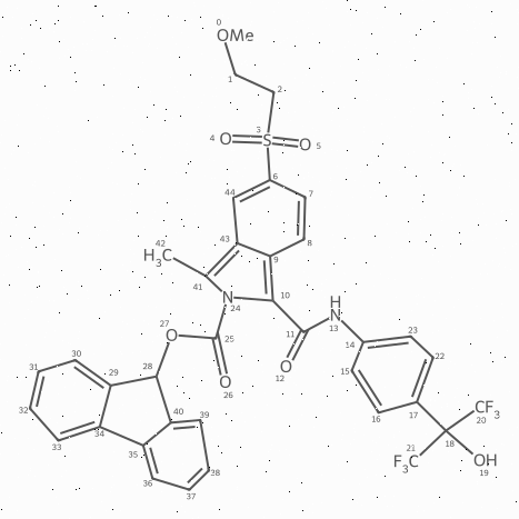 COCCS(=O)(=O)c1ccc2c(C(=O)Nc3ccc(C(O)(C(F)(F)F)C(F)(F)F)cc3)n(C(=O)OC3c4ccccc4-c4ccccc43)c(C)c2c1